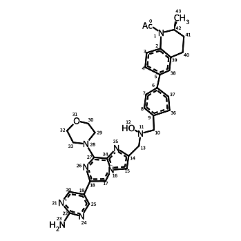 CC(=O)N1c2ccc(-c3ccc(CN(O)Cc4cn5cc(-c6cnc(N)nc6)nc(N6CCOCC6)c5n4)cc3)cc2CC[C@@H]1C